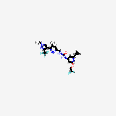 Cc1cc(CNC(=O)Nc2cc(OCC(F)F)nc(C3CC3)c2)nnc1-c1cn(C)nc1C(F)(F)F